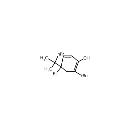 CCCC(C)(C)C1(CC)C=CC(O)=C(C(C)(C)C)C1